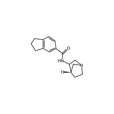 O=C(NC1CN2CC[C@H]1C2)c1ccc2c(c1)CCC2